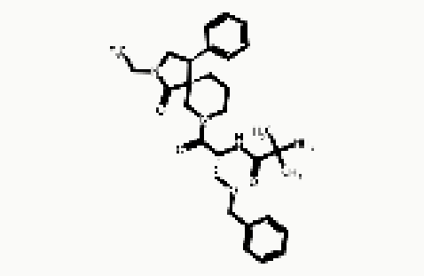 CC(C)(N)C(=O)N[C@H](COCc1ccccc1)C(=O)N1CCC[C@@]2(C1)C(=O)N(CC(F)(F)F)C[C@H]2c1ccccc1